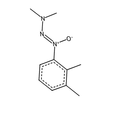 Cc1cccc([N+]([O-])=NN(C)C)c1C